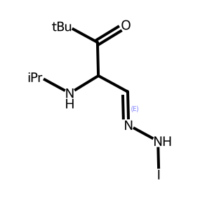 CC(C)NC(/C=N/NI)C(=O)C(C)(C)C